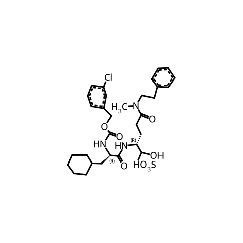 CN(CCc1ccccc1)C(=O)CC[C@@H](NC(=O)[C@@H](CC1CCCCC1)NC(=O)OCc1cccc(Cl)c1)C(O)S(=O)(=O)O